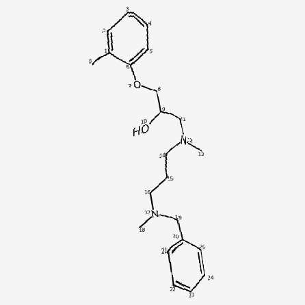 Cc1ccccc1OCC(O)CN(C)CCCN(C)Cc1ccccc1